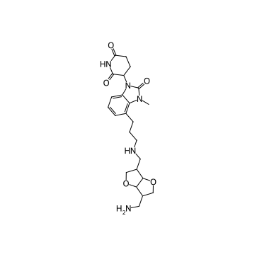 Cn1c(=O)n(C2CCC(=O)NC2=O)c2cccc(CCCNCC3COC4C(CN)COC34)c21